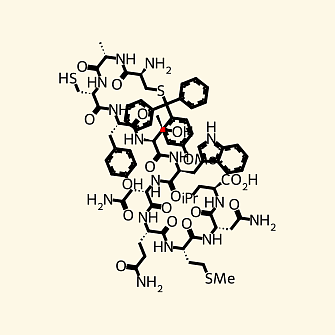 COc1ccc(C(SC[C@H](N)C(=O)N[C@@H](C)C(=O)N[C@@H](CS)C(=O)N[C@@H](Cc2ccc(O)cc2)C(=O)N[C@H](C(=O)N[C@@H](Cc2c[nH]c3ccccc23)C(=O)N[C@@H](CC(N)=O)C(=O)N[C@@H](CCC(N)=O)C(=O)N[C@@H](CCSC)C(=O)N[C@@H](CC(N)=O)C(=O)N[C@@H](CC(C)C)C(=O)O)[C@@H](C)O)(c2ccccc2)c2ccccc2)cc1